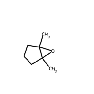 CC12CCCC1(C)O2